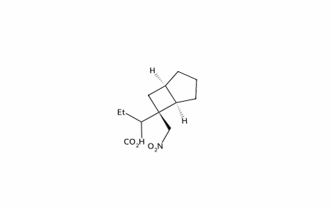 CCC(C(=O)O)[C@]1(C[N+](=O)[O-])C[C@H]2CCC[C@H]21